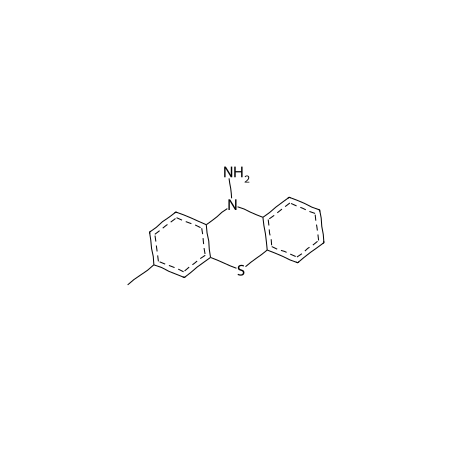 Cc1ccc2c(c1)Sc1ccccc1N2N